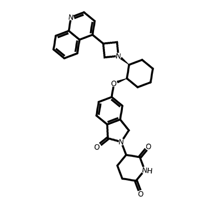 O=C1CCC(N2Cc3cc(O[C@@H]4CCCC[C@@H]4N4CC(c5ccnc6ccccc56)C4)ccc3C2=O)C(=O)N1